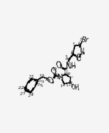 O=C(NCC1CC(Br)=NO1)[C@@H]1C[C@@H](O)CN1C(=O)OCc1ccccc1